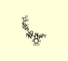 CC(C)n1nc(-c2nnc(C3C4CN(CC5CCC5)CC43)o2)c2ccccc21